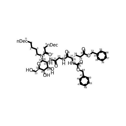 CCCCCCCCCCCCCCN(C(=O)CCCCCCCCCCC)[C@@H]1O[C@H](CO)[C@@H](O)[C@H](O)[C@H]1NC(=O)CNC(=O)[C@H](CCC(=O)OCc1ccccc1)NC(=O)OCc1ccccc1